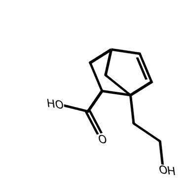 O=C(O)C1CC2C=CC1(CCO)C2